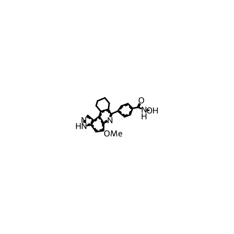 COc1cc2[nH]ncc2c2c3c(c(-c4ccc(C(=O)NO)cc4)nc12)CCCC3